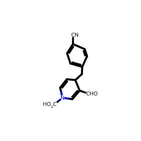 N#Cc1ccc(CC2C=CN(C(=O)O)C=C2C=O)cc1